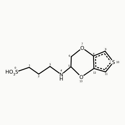 O=S(=O)(O)CCCNC1COc2cscc2O1